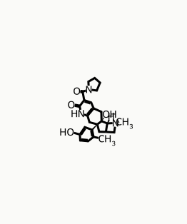 Cc1ccc(O)cc1[C@@]12Cc3[nH]c(=O)c(C(=O)N4CCCC4)cc3C[C@@]1(O)[C@H]1C(CN1C)C2